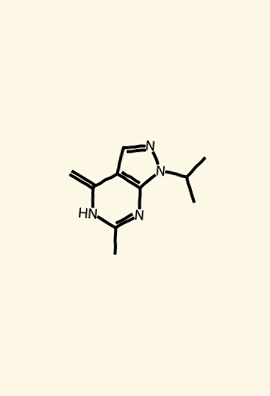 C=C1NC(C)=Nc2c1cnn2C(C)C